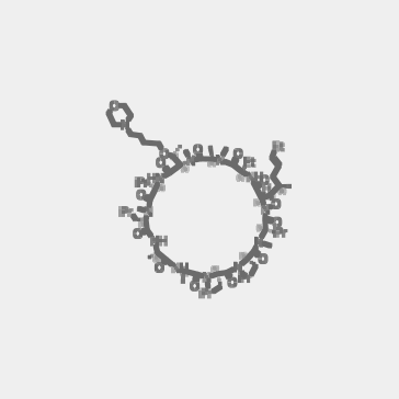 CCC=CC[C@@H](C)[C@H]1ON2C(=O)[C@H](C(C)C)N(C)C(=O)[C@H](CC(C)C)N(C)C(=O)[C@H](CC(C)C)N(C)C(=O)[C@@H](C)NC(=O)[C@H](C)NC(=O)[C@H](CC(C)C)N(C)C(=O)[C@H](C(C)C)NC(=O)[C@H]([C@@H](C)OCCCCN3CCOCC3)N(C)C(=O)[C@@H](C)N(C)C(=O)[C@H](CC)NC(=O)[C@H]12